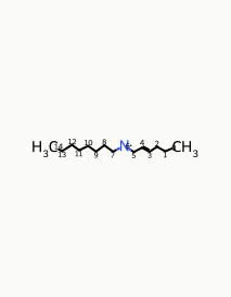 CCCC=CC[N]CCCCCCCC